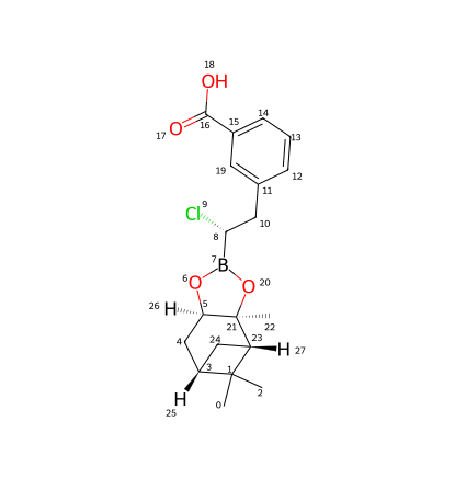 CC1(C)[C@@H]2C[C@H]3OB([C@H](Cl)Cc4cccc(C(=O)O)c4)O[C@@]3(C)[C@H]1C2